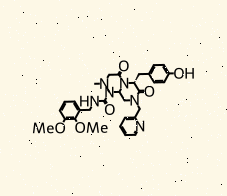 COc1cccc(CNC(=O)N2C3CN(Cc4ccccn4)C(=O)[C@H](Cc4ccc(O)cc4)N3C(=O)CN2C)c1OC